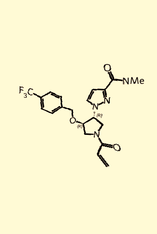 C=CC(=O)N1C[C@@H](n2ccc(C(=O)NC)n2)[C@H](OCc2ccc(C(F)(F)F)cc2)C1